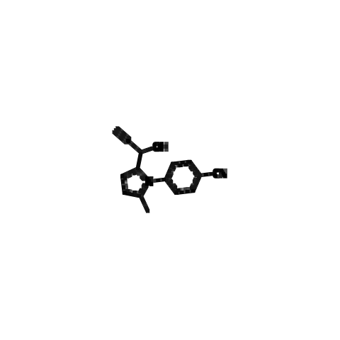 C#CC(O)c1ccc(C)n1-c1ccc(C#N)cc1